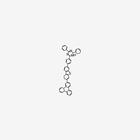 C1=CCCC(C2N=C(c3ccccc3)N=C(c3ccc(-c4ccc5c6c(sc5c4)C=C(c4ccc5c(c4)C4C=CC=CC4c4ccccc4-5)CC6)cc3)N2)=C1